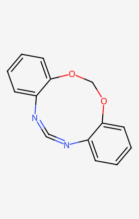 C1=Nc2ccccc2OCOc2ccccc2N=1